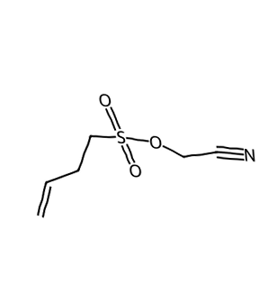 C=CCCS(=O)(=O)OCC#N